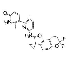 Cc1ccc(NC(=O)C2(c3ccc4c(c3)CCC(F)(F)O4)CC2)nc1-c1ccc(=O)[nH]c1C